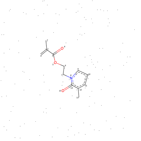 C=C(C)C(=O)OCCn1cccc(C)c1=O